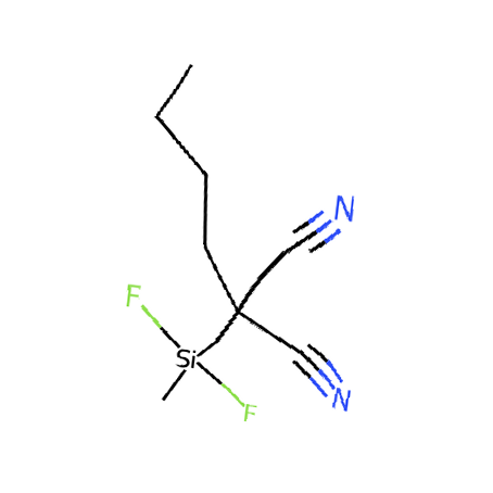 CCCCC(C#N)(C#N)[Si](C)(F)F